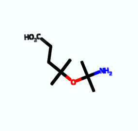 CC(C)(N)OC(C)(C)CCC(=O)O